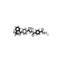 NC(=O)c1ccc(C(=O)NCC(=O)N2CCN(C(=O)c3ccccc3C(F)(F)F)CC2)cc1